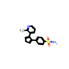 NS(=O)(=O)c1ccc(C2=CCC=C2c2cccnc2C(F)(F)F)cc1